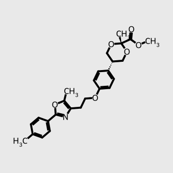 COC(=O)[C@]1(C)OC[C@H](c2ccc(OCCc3nc(-c4ccc(C)cc4)oc3C)cc2)CO1